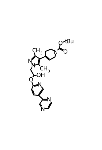 Cc1nn(CC(O)Oc2ccc(-c3cnccn3)cn2)c(C)c1C1=CCN(C(=O)OC(C)(C)C)CC1